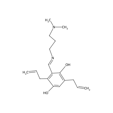 C=CCc1cc(O)c(CC=C)c(C=NCCCN(C)C)c1O